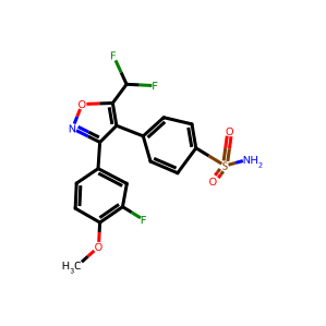 COc1ccc(-c2noc(C(F)F)c2-c2ccc(S(N)(=O)=O)cc2)cc1F